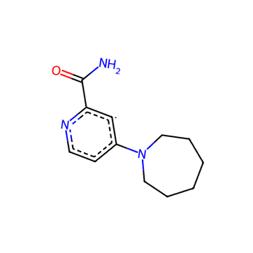 NC(=O)c1[c]c(N2CCCCCC2)ccn1